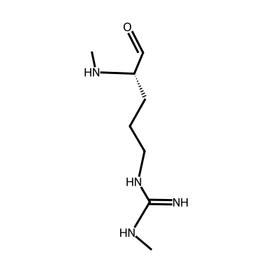 CNC(=N)NCCC[C@@H](C=O)NC